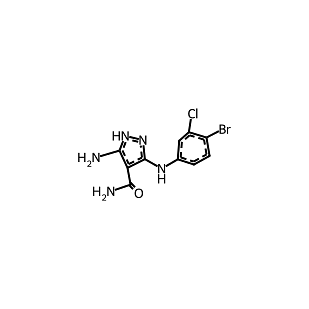 NC(=O)c1c(Nc2ccc(Br)c(Cl)c2)n[nH]c1N